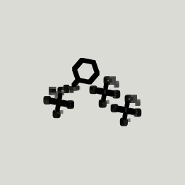 CS(=O)(=O)[O-].CS(=O)(=O)[O-].CS(=O)(=O)[O-].[Sn+3][CH]1CCCCC1